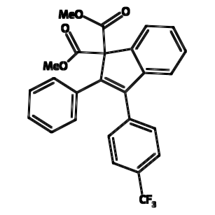 COC(=O)C1(C(=O)OC)C(c2ccccc2)=C(c2ccc(C(F)(F)F)cc2)c2ccccc21